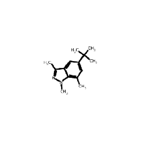 Cc1nn(C)c2c(C)cc(C(C)(C)C)cc12